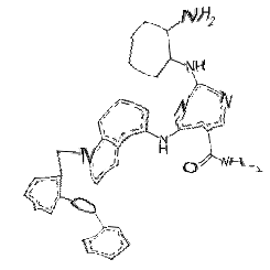 NC(=O)c1cnc(NC2CCCCC2N)nc1Nc1cccc2c1ccn2Cc1ccccc1Oc1ccccc1